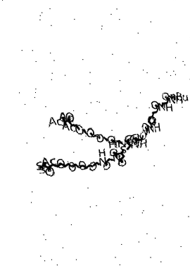 CCCCNC(=O)CCNC(=O)CCc1ccc(NC(=O)COCC(=O)NC(CSC2CC(=O)N(CCC(=O)NCCOCCOCCOCCOCCC(=O)C3(C(C)=O)SS3)C2=O)C(=O)NCCOCCOCCOCCOCCC(=O)C(C(C)=O)(C(C)=O)C(C)=O)cc1